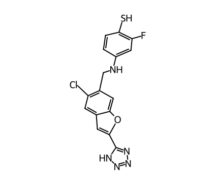 Fc1cc(NCc2cc3oc(-c4nnn[nH]4)cc3cc2Cl)ccc1S